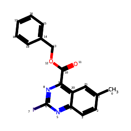 Cc1ccc2nc(I)nc(C(=O)OCc3ccccc3)c2c1